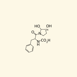 O=C(O)NC(Cc1ccccc1)C(=O)N1CC[C@@H](O)C1O